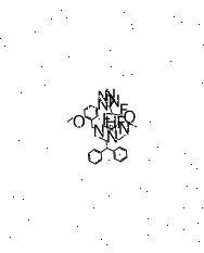 CCOc1ccc(-n2nnnc2C(F)C(F)F)cc1CN1CC(C(c2ccccc2)c2ccccc2)N2CCN(C(C)=O)C[C@H]2C1